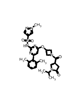 Cc1cccc(C)c1-c1cc(OC2CN(C(=O)C3CC(=O)N(C(C)C)C3)C2)nc(NS(=O)(=O)c2cnn(C)c2)n1